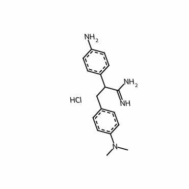 CN(C)c1ccc(CC(C(=N)N)c2ccc(N)cc2)cc1.Cl